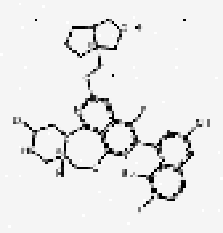 CCc1c(F)ccc2cc(O)cc(-c3nc4c5c(nc(OC[C@@]67CCCN6C[C@H](F)C7)nc5c3F)N3CC(CC)NC[C@H]3CO4)c12